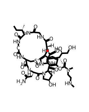 CC[C@H](C)[C@@H]1NC(=O)CNC(=O)[C@H]2Cc3c([nH]c4cc(OC(=O)N(C)CCNC)ccc34)[S+]([O-])C[C@H](NC(=O)CNC1=O)C(=O)N[C@@H](CC(N)=O)C(=O)N1C[C@H](O)C[C@H]1C(=O)N[C@@H]([C@@H](C)[C@@H](O)CO)C(=O)N2